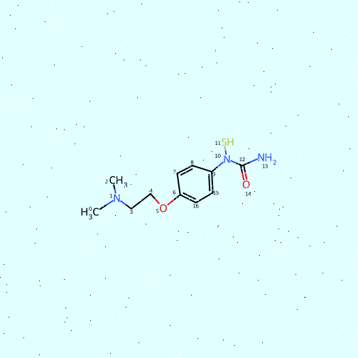 CN(C)CCOc1ccc(N(S)C(N)=O)cc1